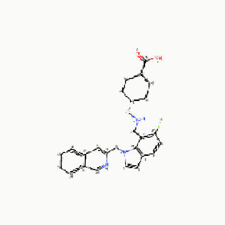 O=C(O)[C@H]1CC[C@H](CNCc2c(F)ccc3ccn(Cc4cc5ccccc5cn4)c23)CC1